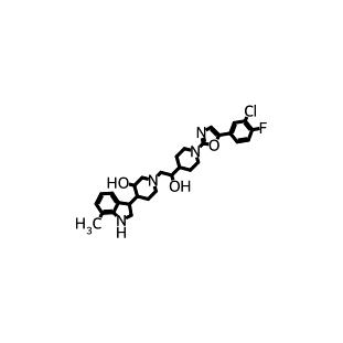 Cc1cccc2c1NCC2C1CCN(CC(O)C2CCN(c3ncc(-c4ccc(F)c(Cl)c4)o3)CC2)CC1O